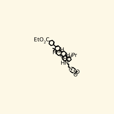 CCOC(=O)C1CC=C(C2=CC[C@]3(C)[C@H]4CC[C@@H]5[C@H]6[C@H](C(C)C)CC[C@]6(NCCN6CCS(=O)(=O)CC6)CC[C@@]5(C)[C@]4(C)CC[C@H]3C2(C)C)CC1